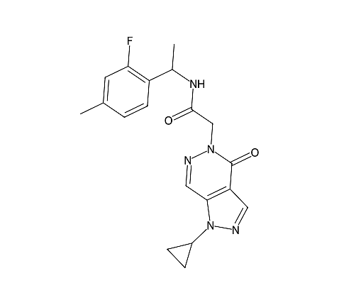 Cc1ccc(C(C)NC(=O)Cn2ncc3c(cnn3C3CC3)c2=O)c(F)c1